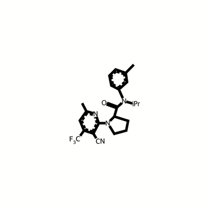 Cc1cccc(N(C(=O)C2CCCN2c2nc(C)cc(C(F)(F)F)c2C#N)C(C)C)c1